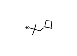 CC(C)(O)CN1CCC1